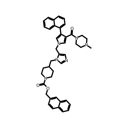 CN1CCN(C(=O)c2cn(Cc3cncn3CC3CCN(C(=O)OCc4ccc5ccccc5c4)CC3)cc2-c2cccc3ccccc23)CC1